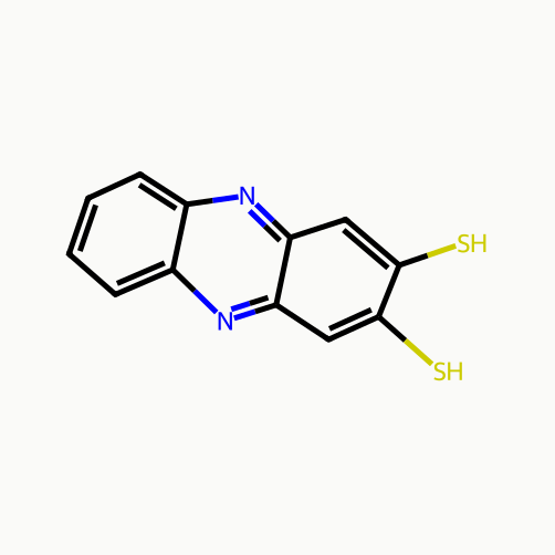 Sc1cc2nc3ccccc3nc2cc1S